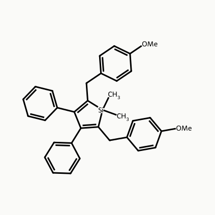 COc1ccc(CC2=C(c3ccccc3)C(c3ccccc3)=C(Cc3ccc(OC)cc3)[Si]2(C)C)cc1